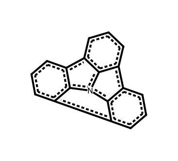 c1cc2c3cccc4c5cccc6c(c1)c2n(c34)c65